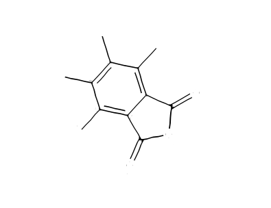 Cc1c(C)c(C)c2c(c1C)C(=O)OC2=O